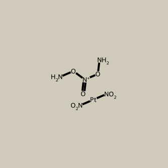 NO[N+](=O)ON.O=[N+]([O-])[Pt][N+](=O)[O-]